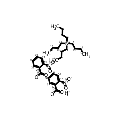 CCCC[N+](CCCC)(CCCC)CCCC.O=C([O-])c1ccccc1[N+](=O)[O-].O=C([O-])c1ccccc1[N+](=O)[O-].[H+]